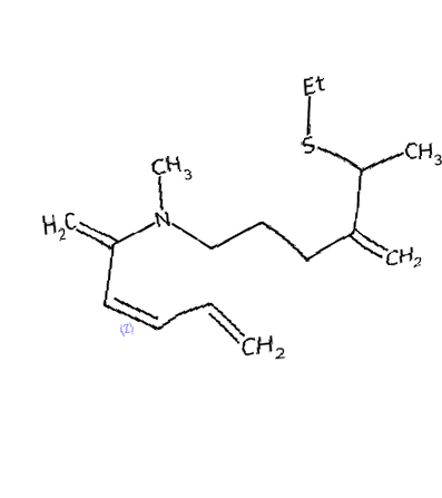 C=C/C=C\C(=C)N(C)CCCC(=C)C(C)SCC